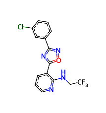 FC(F)(F)CNc1ncccc1-c1nc(-c2cccc(Cl)c2)no1